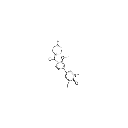 COc1cc(-c2cc(I)c(=O)n(C)c2)ccc1C(=O)N1CCNCC1